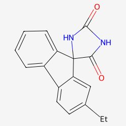 CCc1ccc2c(c1)C1(NC(=O)NC1=O)c1ccccc1-2